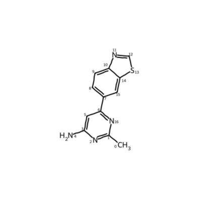 Cc1nc(N)cc(-c2ccc3ncsc3c2)n1